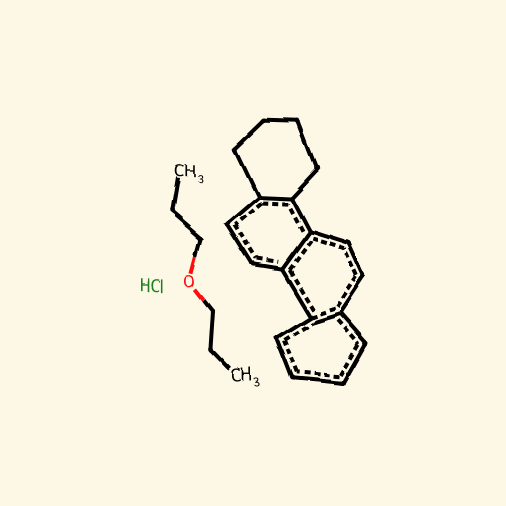 CCCOCCC.Cl.c1ccc2c(c1)ccc1c3c(ccc12)CCCC3